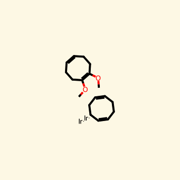 C1=C\CC/C=C\CC/1.CO/C1=C(\OC)CC/C=C\CC1.[Ir].[Ir]